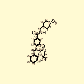 CSN1CCC(CNC(=O)c2ccc3c(c2)OCCN3Cc2ccccc2OC(F)(F)F)CC1